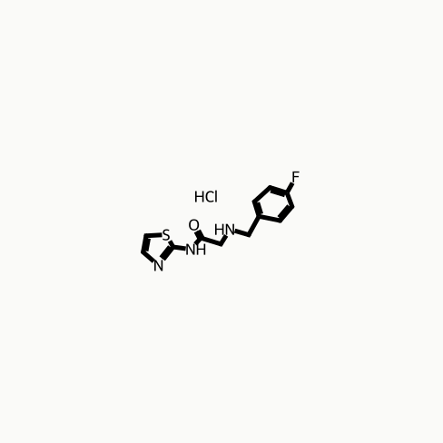 Cl.O=C(CNCc1ccc(F)cc1)Nc1nccs1